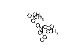 CC1(C)c2ccccc2-c2ccc(-c3ccc(N(c4cccc(-c5cccc6ccccc56)c4)c4ccc5c(c4)C(C)(C)c4ccccc4-5)cc3)cc21